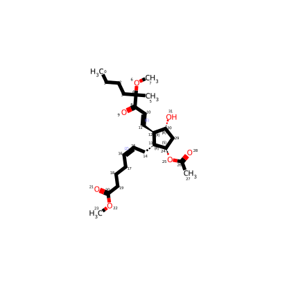 CCCCC(C)(OC)C(=O)/C=C/[C@@H]1[C@@H](C/C=C\CCCC(=O)OC)[C@@H](OC(C)=O)C[C@H]1O